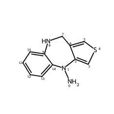 NN1c2cscc2CNc2ccccc21